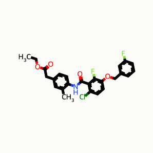 CCOC(=O)Cc1ccc(NC(=O)c2c(Cl)ccc(OCc3cccc(F)c3)c2F)c(C)c1